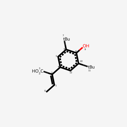 CC=C(C(=O)O)c1cc(C(C)(C)C)c(O)c(C(C)(C)C)c1